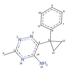 Cc1nnc(C2(c3ccccc3)CC2)c(N)n1